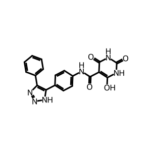 O=C(Nc1ccc(-c2[nH]nnc2-c2ccccc2)cc1)c1c(O)[nH]c(=O)[nH]c1=O